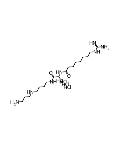 Cl.Cl.Cl.N=C(N)NCCCCCCCC(=O)NC(O)C(=O)NCCCCNCCCN